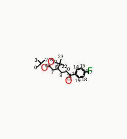 CC(C)(C)OC(=O)CC(CCC(=O)c1ccc(F)cc1)C(C)(C)C